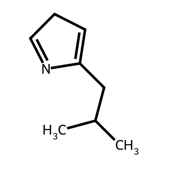 CC(C)CC1=CCC=N1